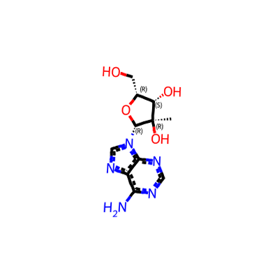 C[C@@]1(O)[C@@H](O)[C@@H](CO)O[C@H]1n1cnc2c(N)ncnc21